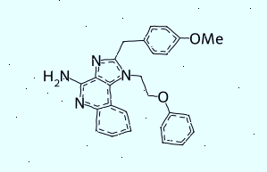 COc1ccc(Cc2nc3c(N)nc4ccccc4c3n2CCOc2ccccc2)cc1